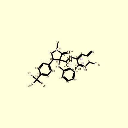 C=C/C=C(NC(O)[C@@]1(Sc2ccccc2)C(=O)N(C)CC1c1ccc(C(F)(F)F)cc1)\C(F)=N/CF